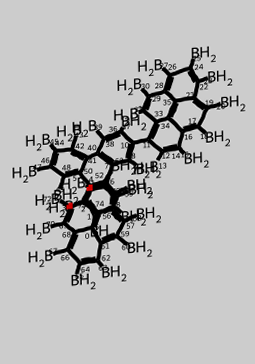 Bc1c(B)c(B)c(-c2c(B)c(-c3c(B)c(B)c4c(B)c(B)c5c(B)c(B)c(B)c6c(B)c(B)c3c4c56)c(B)c(B)c2-c2c(B)c(B)c(B)c(B)c2-c2c(B)c(B)c3c(B)c(B)c4c(B)c(B)c(B)c5c(B)c(B)c2c3c45)c(B)c1B